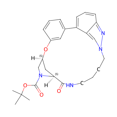 CC(C)(C)OC(=O)N1C[C@@H]2C[C@H]1C(=O)NCCCCn1cc3c(cccc3n1)-c1cccc(c1)O2